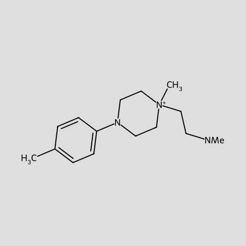 CNCC[N+]1(C)CCN(c2ccc(C)cc2)CC1